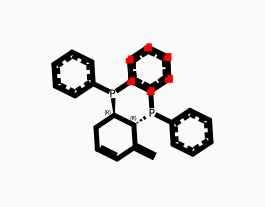 C=C1C=CC[C@@H](P(c2ccccc2)c2ccccc2)[C@@H]1P(c1ccccc1)c1ccccc1